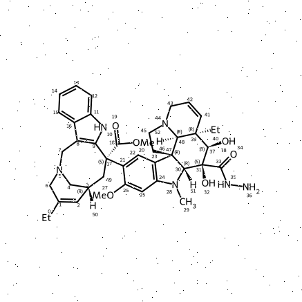 CCC1=C[C@@H]2CN(C1)Cc1c([nH]c3ccccc13)[C@@](C(=O)OC)(c1cc3c(cc1OC)N(C)[C@H]1[C@@](O)(C(=O)NN)[C@H](O)[C@]4(CC)C=CCN5CC[C@]31[C@@H]54)C2